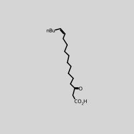 CCCC/C=C\CCCCCCCCCC(=O)CC(=O)O